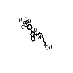 CS(=O)(=O)c1ccc(C(CC2CCCC2)C(=O)Nc2ccn(CCCCO)n2)cc1Cl